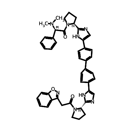 CN(C)[C@@H](C(=O)N1CCC[C@H]1c1ncc(-c2ccc(-c3ccc(-c4cnc([C@@H]5CCCN5C(=O)Cc5noc6ccccc56)[nH]4)cc3)cc2)[nH]1)c1ccccc1